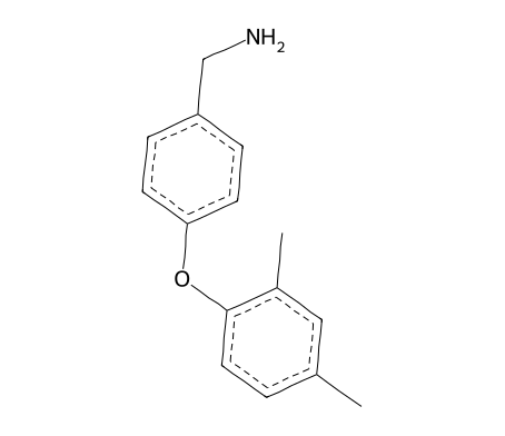 Cc1ccc(Oc2ccc(CN)cc2)c(C)c1